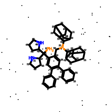 PC(c1cc(-c2ccccc2)c(-c2ccccc2)cc1CP(C1C2CC3CC(C2)CC1C3)C1C2CC3CC(C2)CC1C3)(C1CCCN1)C1CCCN1